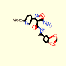 COc1ccc(-c2noc(N)c2C(=O)NCc2ccc3c(c2)OCO3)cn1